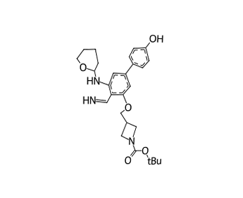 CC(C)(C)OC(=O)N1CC(COc2cc(-c3ccc(O)cc3)cc(NC3CCCCO3)c2C=N)C1